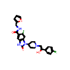 O=C(NCc1ccco1)c1cc2[nH]c(=O)n(C3CCN(CC(O)c4ccc(Cl)cc4)CC3)c2cc1F